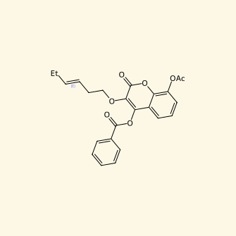 CC/C=C/CCOc1c(OC(=O)c2ccccc2)c2cccc(OC(C)=O)c2oc1=O